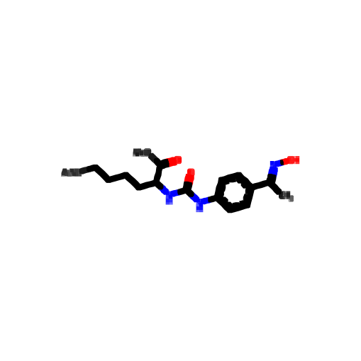 COC(=O)C(CCCCNC(C)=O)NC(=O)Nc1ccc(C(C)=NO)cc1